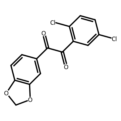 O=C(C(=O)c1cc(Cl)ccc1Cl)c1ccc2c(c1)OCO2